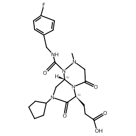 CN1CC(=O)N2[C@@H](CCC(=O)O)C(=O)N(C3CCCC3)C[C@@H]2N1C(=O)NCc1ccc(F)cc1